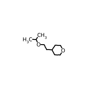 CC(C)OCCC1CCOCC1